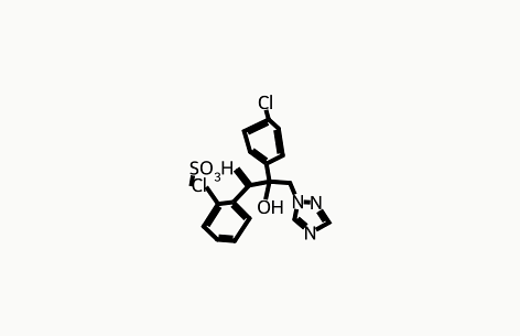 C=C(c1ccccc1Cl)C(O)(Cn1cncn1)c1ccc(Cl)cc1.CS(=O)(=O)O